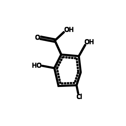 O=C(O)c1c(O)cc(Cl)cc1O